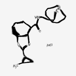 CC1C[C@@H]1c1nc2c(C(=O)NC3CN4CCC3CC4)cccc2o1.Cl